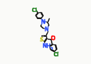 CC1CN(Cc2csc(N)c2C(=O)c2ccc(Cl)cc2)CCN1c1ccc(Cl)cc1